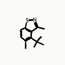 Cc1ccc2snc(C)c2c1C(C)(C)C